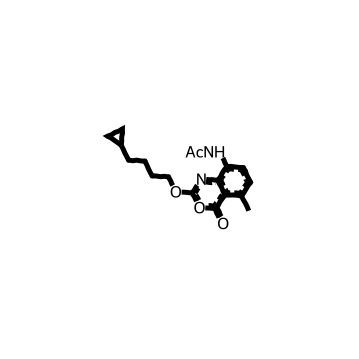 CC(=O)Nc1ccc(C)c2c(=O)oc(OCCCCC3CC3)nc12